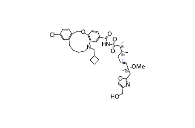 CO[C@](C)(/C=C/C[C@H](C)[C@@H](C)S(=O)(=O)NC(=O)c1ccc2c(c1)N(CC1CCC1)CCCCc1cc(Cl)ccc1CO2)Cc1nc(CO)co1